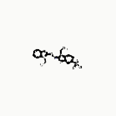 CCn1/c(=N\N=c2\sc3cc(S(=O)(=O)O)ccc3n2CC)sc2ccccc21